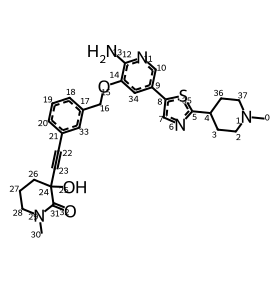 CN1CCC(c2ncc(-c3cnc(N)c(OCc4cccc(C#CC5(O)CCCN(C)C5=O)c4)c3)s2)CC1